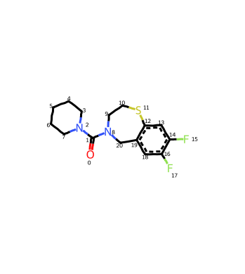 O=C(N1CCCCC1)N1CCSc2cc(F)c(F)cc2C1